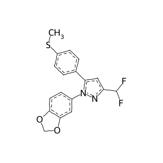 CSc1ccc(-c2cc(C(F)F)nn2-c2ccc3c(c2)OCO3)cc1